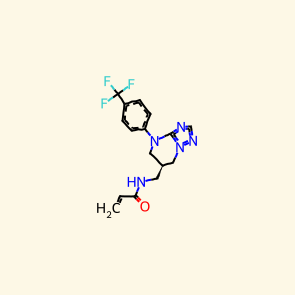 C=CC(=O)NC[C@H]1CN(c2ccc(C(F)(F)F)cc2)c2ncnn2C1